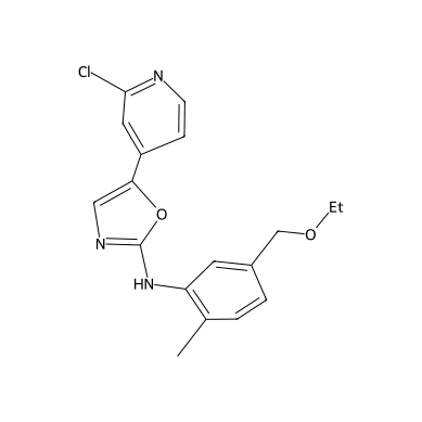 CCOCc1ccc(C)c(Nc2ncc(-c3ccnc(Cl)c3)o2)c1